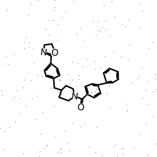 O=C(c1ccc(-c2ccccc2)cc1)N1CCC(Cc2ccc(C3=NCCO3)cc2)CC1